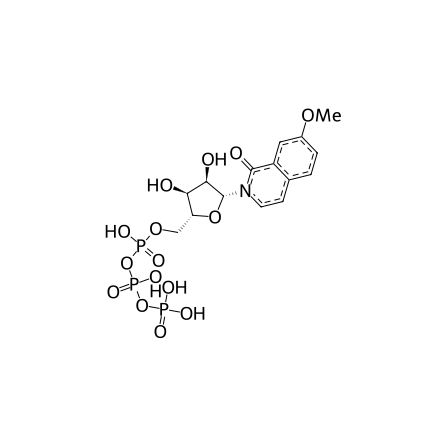 COc1ccc2ccn([C@@H]3O[C@H](COP(=O)(O)OP(=O)(O)OP(=O)(O)O)[C@@H](O)[C@H]3O)c(=O)c2c1